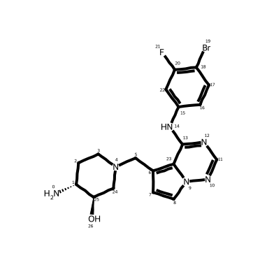 N[C@@H]1CCN(Cc2ccn3ncnc(Nc4ccc(Br)c(F)c4)c23)C[C@H]1O